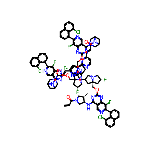 C=CC(=O)N1C[C@H](Nc2nc(OC[C@@]34CC(Cc5nccc(/C=C/C(O)N6CC7CC(C6)N7c6nc(OC[C@@]78CC(Cc9nccc(/C=C/C(=O)N%10C%11CC%10CN(c%10nc(OC[C@@]%12%13CCCN%12C[C@H](F)C%13)nc%12c(F)c(-c%13cccc%14cccc(Cl)c%13%14)ncc%10%12)C%11)n9)CN7C[C@H](F)C8)nc7c(F)c(-c8cccc9cccc(Cl)c89)ncc67)n5)CN3C[C@H](F)C4)nc3c(F)c(-c4cccc5cccc(Cl)c45)ncc23)[C@@H](C)C1